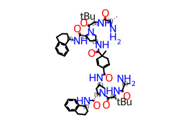 C[C@H](N)C(=O)N[C@H](C(=O)N1C[C@@H](NC(=O)C2=CCC(C)(C(=O)N[C@H]3C[C@@H](C(=O)N[C@@H]4CCCc5ccccc54)N(C(=O)[C@@H](NC(=O)[C@H](C)N)C(C)(C)C)C3)C=C2)C[C@H]1C(=O)N[C@@H]1CCCc2ccccc21)C(C)(C)C